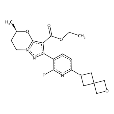 CCOC(=O)c1c(-c2ccc(N3CC4(COC4)C3)nc2F)nn2c1O[C@H](C)CC2